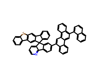 c1ccc2c(c1)-c1cc3sc4ccccc4c3cc1C21c2cc(-c3cc4c5ccccc5c(-c5cccc6ccccc56)cc4c4ccccc34)ccc2-c2ncccc21